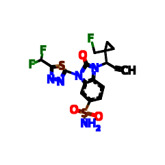 C#CC(n1c(=O)n(-c2nnc(C(F)F)s2)c2cc(S(N)(=O)=O)ccc21)C1(CF)CC1